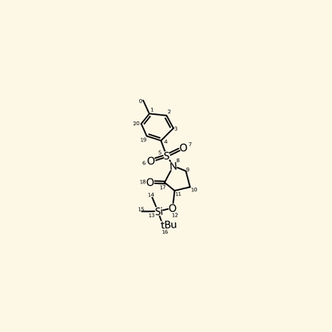 Cc1ccc(S(=O)(=O)N2CCC(O[Si](C)(C)C(C)(C)C)C2=O)cc1